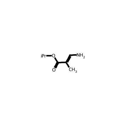 CC(=CN)C(=O)OC(C)C